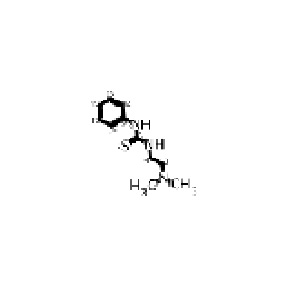 CN(C)CCNC(=S)Nc1ccccc1